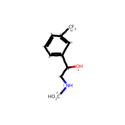 O=C(O)NCC(O)c1cccc(C(F)(F)F)c1